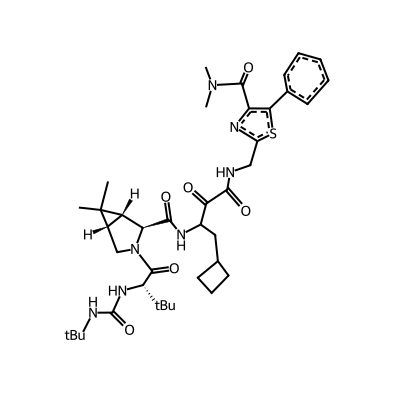 CN(C)C(=O)c1nc(CNC(=O)C(=O)C(CC2CCC2)NC(=O)[C@@H]2[C@@H]3[C@H](CN2C(=O)[C@@H](NC(=O)NC(C)(C)C)C(C)(C)C)C3(C)C)sc1-c1ccccc1